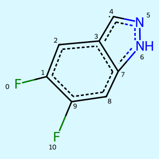 Fc1cc2[c]n[nH]c2cc1F